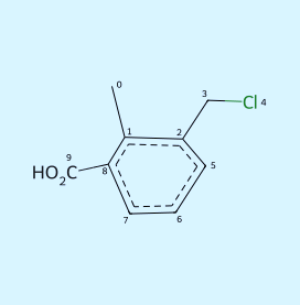 Cc1c(CCl)cccc1C(=O)O